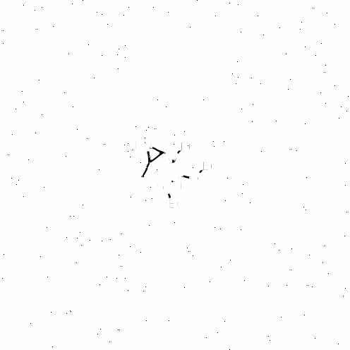 CC1CN1.CCO[SiH](OCC)OCC